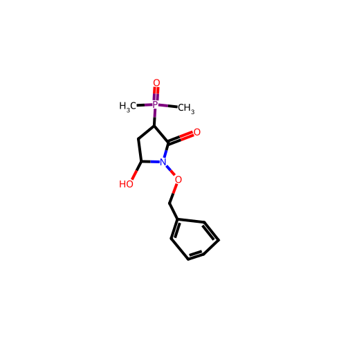 CP(C)(=O)C1CC(O)N(OCc2ccccc2)C1=O